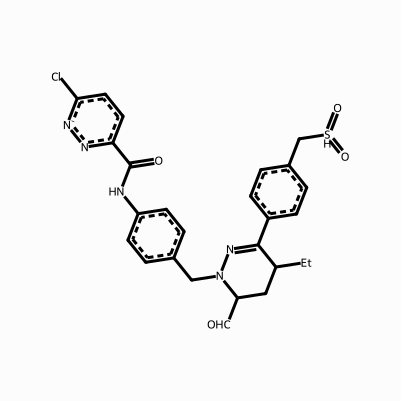 CCC1CC(C=O)N(Cc2ccc(NC(=O)c3ccc(Cl)nn3)cc2)N=C1c1ccc(C[SH](=O)=O)cc1